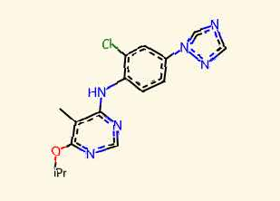 Cc1c(Nc2ccc(-n3cncn3)cc2Cl)ncnc1OC(C)C